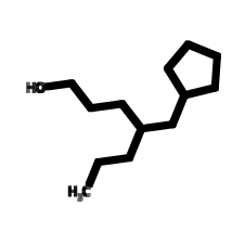 CCCC(CCCO)CC1CCCC1